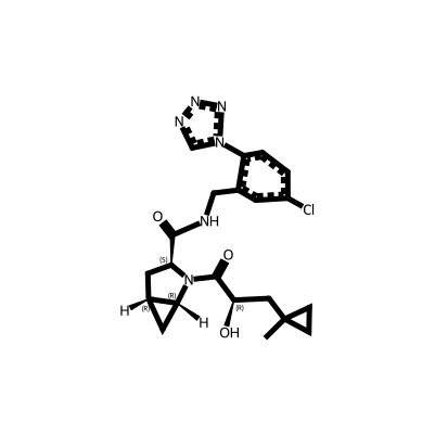 CC1(C[C@@H](O)C(=O)N2[C@@H]3C[C@@H]3C[C@H]2C(=O)NCc2cc(Cl)ccc2-n2cnnn2)CC1